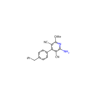 COc1nc(N)c(C#N)c(-c2ccc(C[C](C)C)cc2)c1C#N